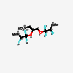 COC(F)C(F)(F)OCC(CS(=O)(=O)O)OC(F)(F)C(F)OC